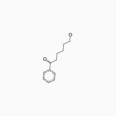 [O]CCCCCC(=O)c1ccccc1